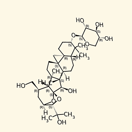 CC(C)(O)[C@H]1O[C@@]23O[C@@H]1C[C@@H](CO)[C@@H]2[C@@]1(C)CC[C@@]24C[C@@]25CC[C@H](O[C@@H]2OC[C@@H](O)[C@H](O)[C@H]2O)C(C)(C)[C@@H]5CC[C@H]4[C@]1(C)[C@H]3O